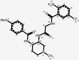 CSc1ccc(C(=O)N[C@@H]2CCN(C)C[C@@H]2NC(=O)CNC(=O)c2cc(C(F)(F)F)ccc2N)cc1